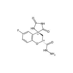 NNC(=O)[C@H]1C[C@]2(NC(=O)NC2=O)c2cc(F)ccc2O1